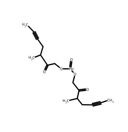 CC#CCC(C)C(=O)CO[PH](=O)OCC(=O)C(C)CC#CC